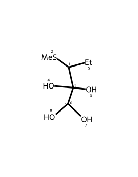 CCC(SC)C(O)(O)[C](O)O